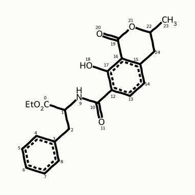 CCOC(=O)C(Cc1ccccc1)NC(=O)c1ccc2c(c1O)C(=O)OC(C)C2